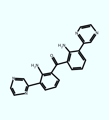 Nc1c(C(=O)c2cccc(-c3cnccn3)c2N)cccc1-c1cnccn1